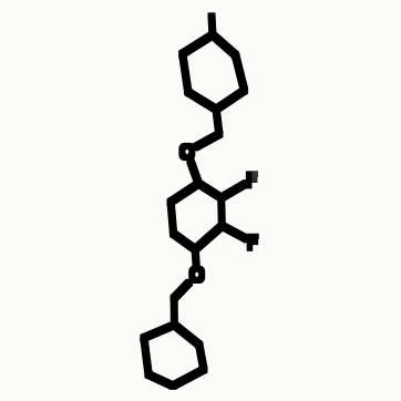 CC1CCC(COC2CCC(OCC3CCCCC3)C(F)C2F)CC1